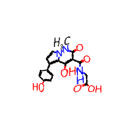 Cn1c(=O)c(C(=O)NCC(=O)O)c(O)c2c(-c3ccc(O)cc3)ccn21